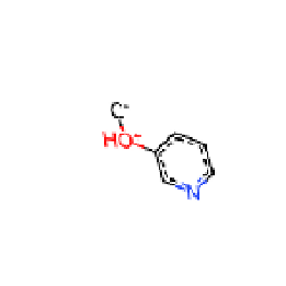 [CH2-][OH+]c1cccnc1